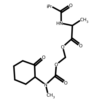 CC(C)C(=O)NC(C)C(=O)OCOC(=O)N(C)C1CCCCC1=O